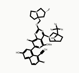 [2H]C([2H])([2H])C12CCC(CN(c3nc(OC[C@@]45CCCN4C[C@H](F)C5)nc4c(F)c(-c5cc(O)cc6ccc(F)c(C#C)c56)nc(OC)c34)C1)N2